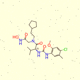 COc1cc(Cl)c(C)cc1NC(=O)N[C@H](C(=O)N(CCC1CCCC1)CC(=O)NO)C(C)C